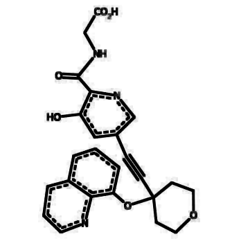 O=C(O)CNC(=O)c1ncc(C#CC2(Oc3cccc4cccnc34)CCOCC2)cc1O